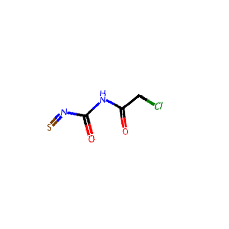 O=C(CCl)NC(=O)N=S